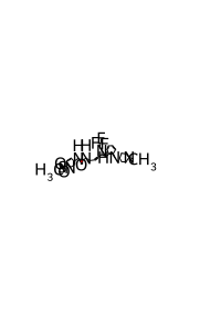 CN1CCC(Nc2cccc3c2cc(C#CCNC(=O)Nc2ccc(S(C)(=O)=O)nc2)n3CC(F)(F)F)CC1